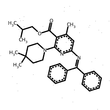 Cc1cc(N=C(c2ccccc2)c2ccccc2)nc(N2CCC(C)(C)CC2)c1C(=O)OCC(C)C